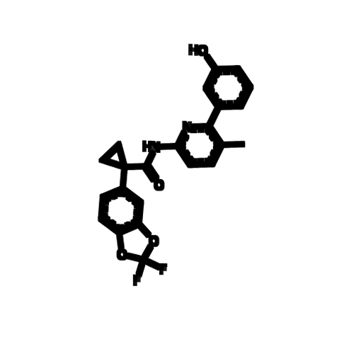 Cc1ccc(NC(=O)C2(c3ccc4c(c3)OC(F)(F)O4)CC2)nc1-c1cccc(O)c1